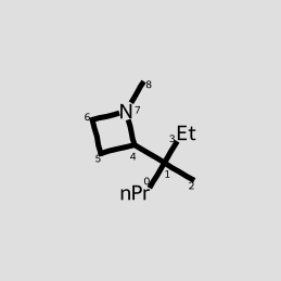 CCCC(C)(CC)C1CCN1C